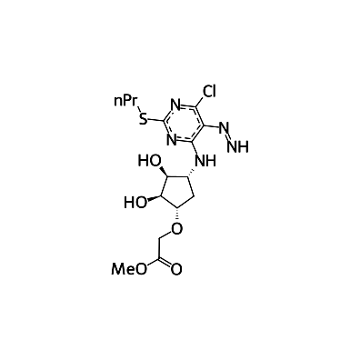 CCCSc1nc(Cl)c(N=N)c(N[C@@H]2C[C@H](OCC(=O)OC)[C@@H](O)[C@H]2O)n1